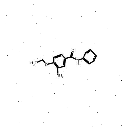 CCOc1ccc(C(=O)Nc2ccccc2)cc1N